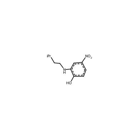 CC(C)CCNc1cc([N+](=O)[O-])ccc1O